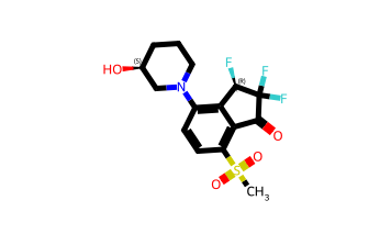 CS(=O)(=O)c1ccc(N2CCC[C@H](O)C2)c2c1C(=O)C(F)(F)[C@@H]2F